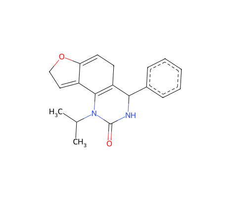 CC(C)N1C(=O)NC(c2ccccc2)C2=C1C1=CCOC1=CC2